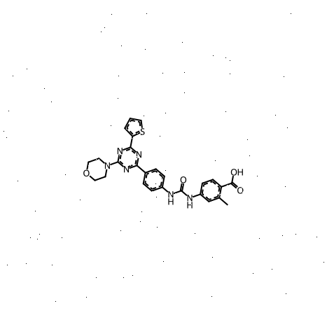 Cc1cc(NC(=O)Nc2ccc(-c3nc(-c4cccs4)nc(N4CCOCC4)n3)cc2)ccc1C(=O)O